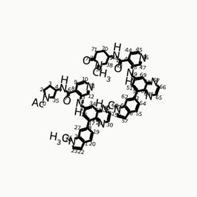 CC(=O)N1CCC(NC(=O)c2ccncc2Nc2cc(-c3ccc4ccn(C)c4c3)c3nccnc3c2)C1.CN1CC(NC(=O)c2ccncc2Nc2cc(-c3ccc4ccn(C)c4c3)c3nccnc3c2)CCC1=O